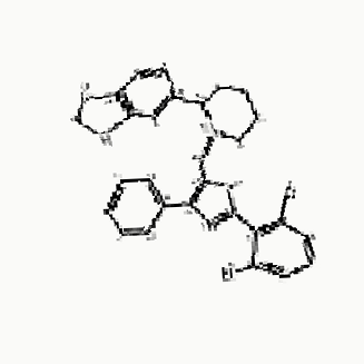 CCc1cccc(CC)c1-c1nc(-c2ccccc2)c(CN2CCCCC2c2ccc3c(c2)OCO3)s1